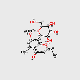 CCCCCCCCOc1cc(C)c2c(=O)cc(CC(C)=O)oc2c1C1OC(CO)C(O)C(O)C1O